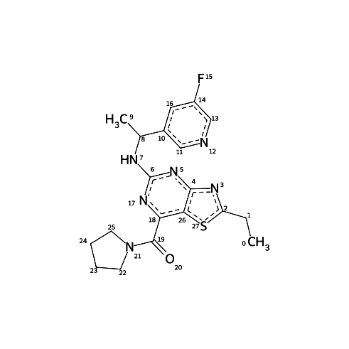 CCc1nc2nc(NC(C)c3cncc(F)c3)nc(C(=O)N3CCCC3)c2s1